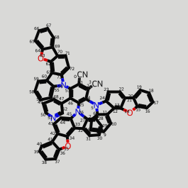 N#Cc1c(C#N)c(-n2c3ccccc3c3c4oc5ccccc5c4ccc32)c(-n2c3ccccc3c3c4oc5ccccc5c4ccc32)c(-c2cccnc2)c1-n1c2ccccc2c2c3oc4ccccc4c3ccc21